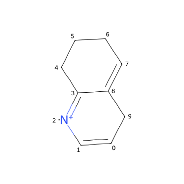 C1=C[N+]=C2CCCC=C2C1